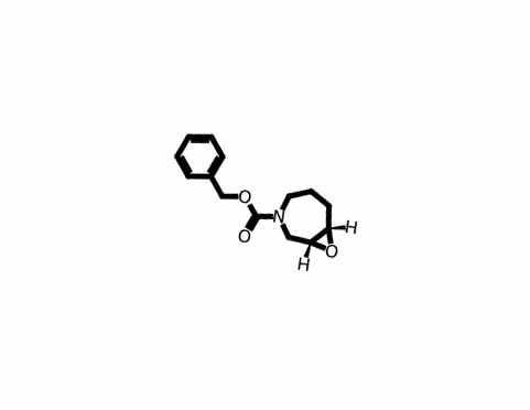 O=C(OCc1ccccc1)N1CCC[C@@H]2O[C@@H]2C1